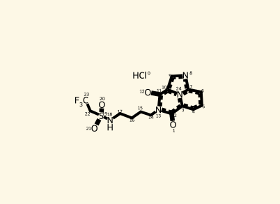 Cl.O=c1c2cccc3ncc(c(=O)n1CCCCNS(=O)(=O)CC(F)(F)F)n32